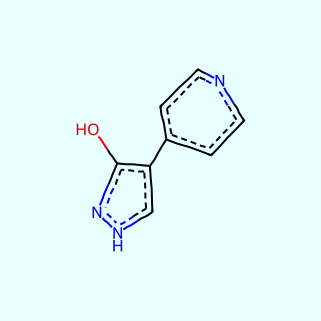 Oc1n[nH]cc1-c1ccncc1